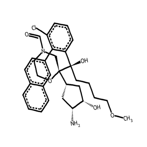 COCCCC[C@@](O)(c1cccc(Cl)c1-c1ccc2ccccc2c1)[C@@]1([C@H]2C[C@@H](N)[C@@H](O)C2)CN(C=O)CCO1